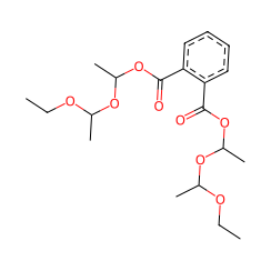 CCOC(C)OC(C)OC(=O)c1ccccc1C(=O)OC(C)OC(C)OCC